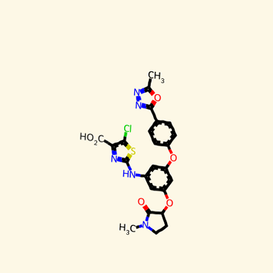 Cc1nnc(-c2ccc(Oc3cc(Nc4nc(C(=O)O)c(Cl)s4)cc(OC4CCN(C)C4=O)c3)cc2)o1